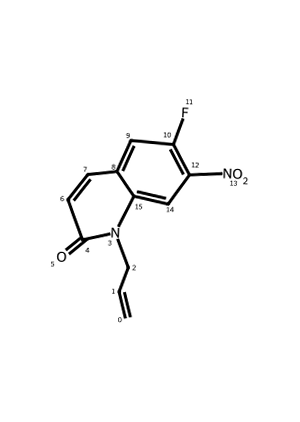 C=CCn1c(=O)ccc2cc(F)c([N+](=O)[O-])cc21